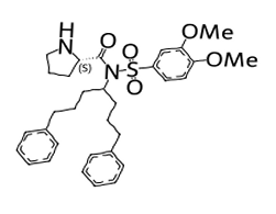 COc1ccc(S(=O)(=O)N(C(=O)[C@@H]2CCCN2)C(CCCc2ccccc2)CCCc2ccccc2)cc1OC